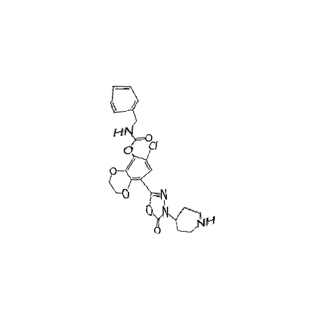 O=C(NCc1ccccc1)Oc1c(Cl)cc(-c2nn(C3CCNCC3)c(=O)o2)c2c1OCCO2